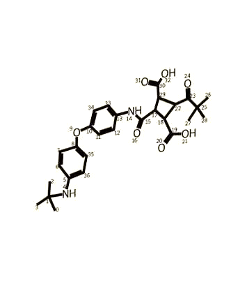 CC(C)(C)Nc1ccc(Oc2ccc(NC(=O)C3C(C(=O)O)C(C(=O)C(C)(C)C)C3C(=O)O)cc2)cc1